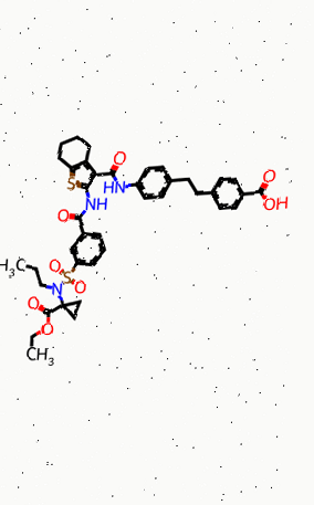 CCCN(C1(C(=O)OCC)CC1)S(=O)(=O)c1cccc(C(=O)Nc2sc3c(c2C(=O)Nc2ccc(CCc4ccc(C(=O)O)cc4)cc2)CCCC3)c1